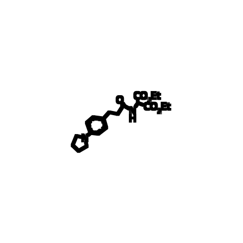 CCOC(=O)C(NC(=O)CCc1ccc(N2CCCC2)cc1)C(=O)OCC